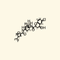 CC(F)c1cc(C(=O)NC23CCC(NC(=O)[C@@H]4C[C@H](O)c5cc(Cl)ccc5O4)(CC2)[C@@H](O)C3)on1